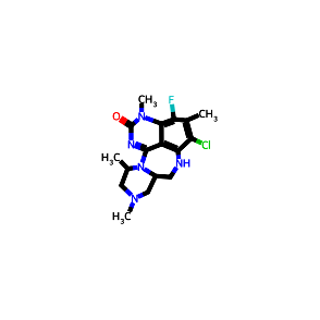 Cc1c(Cl)c2c3c(nc(=O)n(C)c3c1F)N1C(C)CN(C)CC1CN2